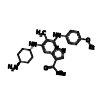 CCCCC(=O)c1cnn2c(Nc3ccc(OCC)cc3)c(C)c(N[C@H]3CC[C@H](N)CC3)cc12